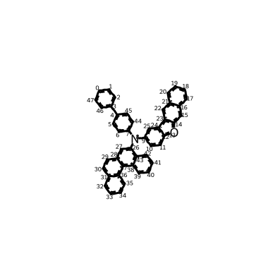 c1ccc(-c2ccc(N(c3ccc4oc5cc6ccccc6cc5c4c3)c3cc4ccc5ccccc5c4c4ccccc34)cc2)cc1